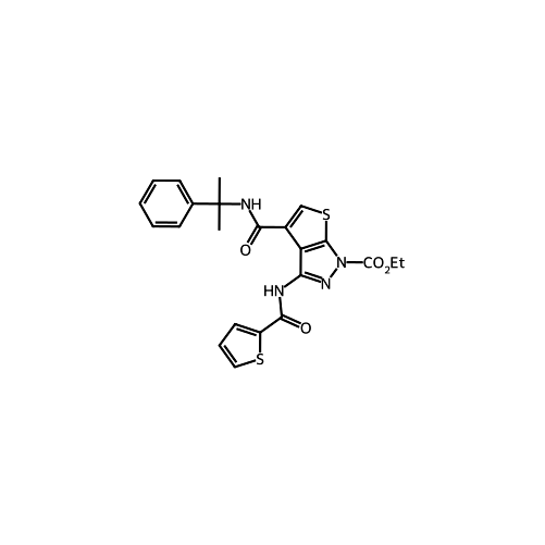 CCOC(=O)n1nc(NC(=O)c2cccs2)c2c(C(=O)NC(C)(C)c3ccccc3)csc21